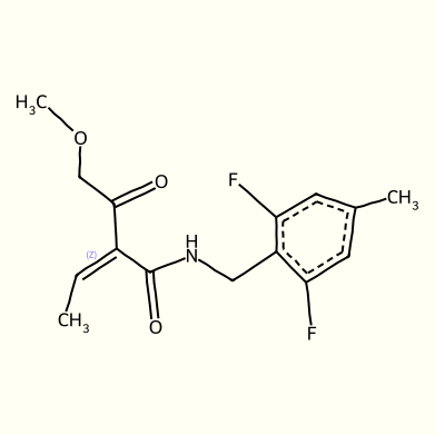 C/C=C(/C(=O)COC)C(=O)NCc1c(F)cc(C)cc1F